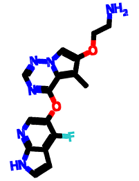 Cc1c(OCCN)cn2ncnc(Oc3cnc4[nH]ccc4c3F)c12